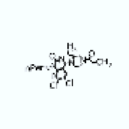 C=CC(=O)N1CCN(c2nc(=O)n(CCCCC)c3nc(Cl)c(Cl)cc23)[C@@H](C)C1